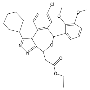 CCOC(=O)CC1OC(c2cccc(OC)c2OC)c2cc(Cl)ccc2-n2c(C3CCCCC3)nnc21